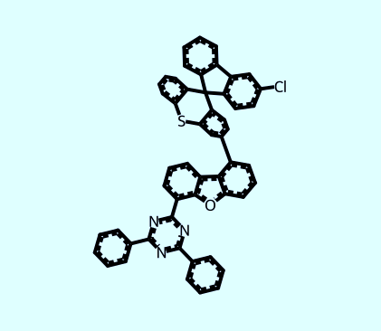 Clc1ccc2c(c1)-c1ccccc1C21c2ccccc2Sc2cc(-c3cccc4oc5c(-c6nc(-c7ccccc7)nc(-c7ccccc7)n6)cccc5c34)ccc21